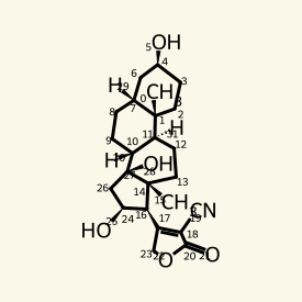 C[C@]12CC[C@H](O)C[C@H]1CC[C@@H]1[C@@H]2CC[C@]2(C)[C@@H](C3=C(C#N)C(=O)OC3)[C@@H](O)C[C@]12O